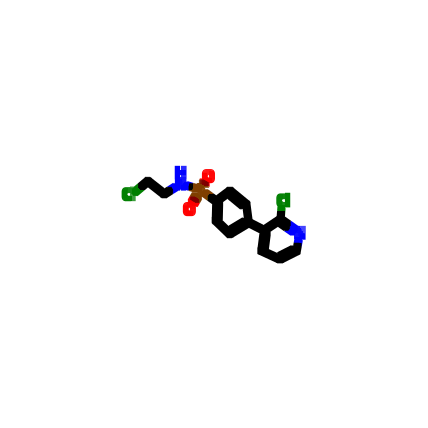 O=S(=O)(NCCCl)c1ccc(-c2cccnc2Cl)cc1